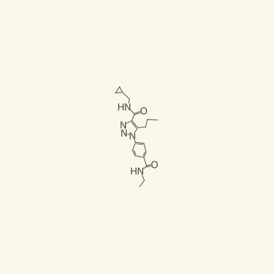 CCCc1c(C(=O)NCC2CC2)nnn1-c1ccc(C(=O)NCC)cc1